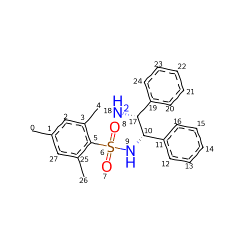 Cc1cc(C)c(S(=O)(=O)N[C@@H](c2ccccc2)[C@H](N)c2ccccc2)c(C)c1